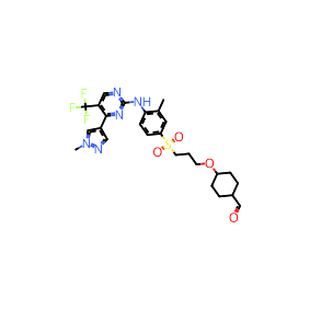 Cc1cc(S(=O)(=O)CCCOC2CCC(C=O)CC2)ccc1Nc1ncc(C(F)(F)F)c(-c2cnn(C)c2)n1